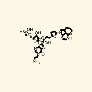 NCCN1C=NC2C(N=CN2[C@@H]2O[C@H](COP(=O)(O)S)[C@@H](O)[C@H]2OP(=O)(S)CC[C@@H]2CC[C@H](N3C=C4CCCSC5NC=NC3C45)O2)C1=O